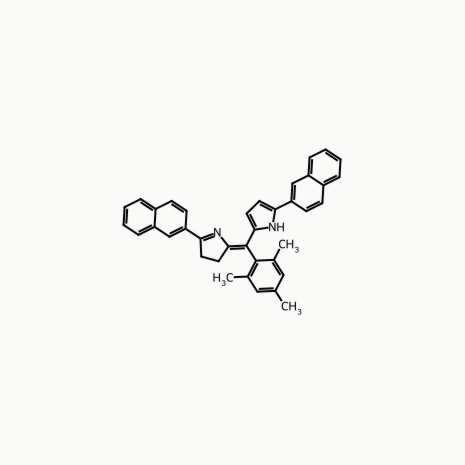 Cc1cc(C)c(/C(=C2\CCC(c3ccc4ccccc4c3)=N2)c2ccc(-c3ccc4ccccc4c3)[nH]2)c(C)c1